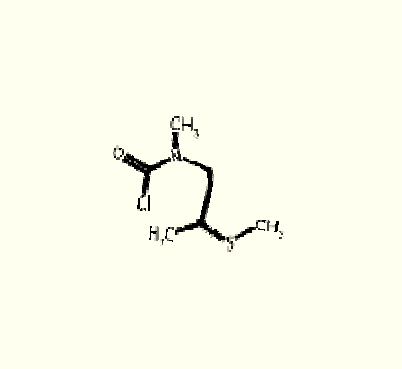 CSC(C)CN(C)C(=O)Cl